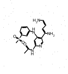 CC(=O)Nc1cc(Nc2cccc(S(C)(=O)=O)c2)c(/C(N)=C/C=C\N)cn1